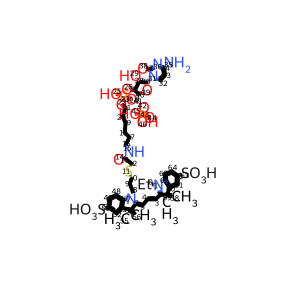 CC[N+]1=C(/C=C/C=C2\N(CCCSCC(=O)NCCCCCCOP(=O)(O)OC3C(O)[C@H](n4ccc(N)nc4=O)O[C@@H]3COP(=O)(O)O)c3ccc(S(=O)(=O)O)cc3C2(C)C)C(C)(C)c2cc(S(=O)(=O)O)ccc21